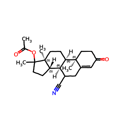 CC(=O)OC1(C)CC[C@H]2[C@@H]3C(C#N)CC4=CC(=O)CC[C@]4(C)[C@@H]3CC[C@@]21C